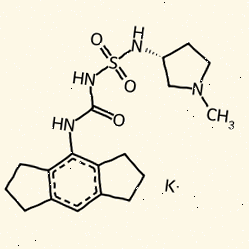 CN1CC[C@@H](NS(=O)(=O)NC(=O)Nc2c3c(cc4c2CCC4)CCC3)C1.[K]